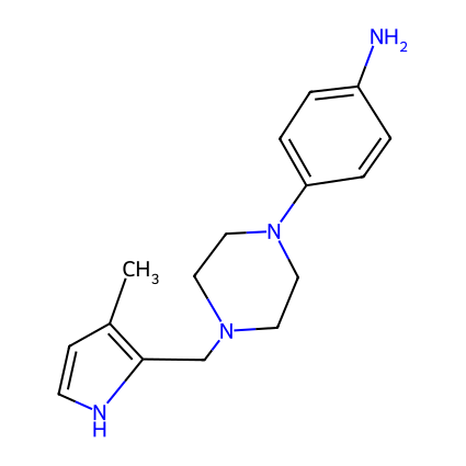 Cc1cc[nH]c1CN1CCN(c2ccc(N)cc2)CC1